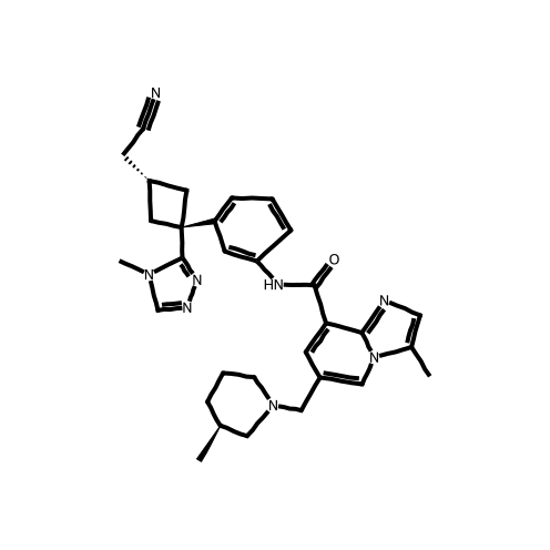 Cc1cnc2c(C(=O)Nc3cccc([C@]4(c5nncn5C)C[C@@H](CC#N)C4)c3)cc(CN3CCC[C@H](C)C3)cn12